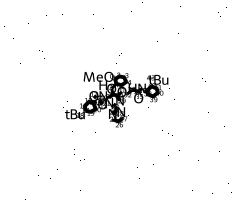 COc1ccccc1Oc1c(NS(=O)(=O)c2ccc(C(C)(C)C)cc2)nc(-c2ncccn2)nc1OCCC(=O)Nc1ccccc1C(C)(C)C